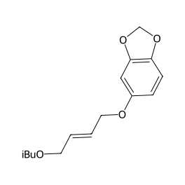 CC(C)COCC=CCOc1ccc2c(c1)OCO2